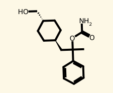 CC(C[C@H]1CC[C@H](CO)CC1)(OC(N)=O)c1ccccc1